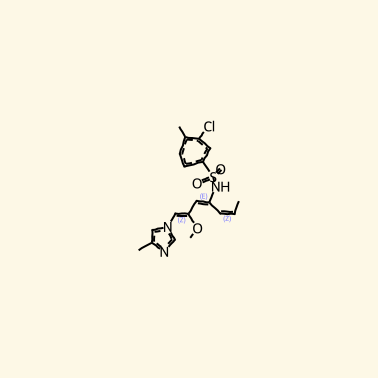 C\C=C/C(=C\C(=C\n1cnc(C)c1)OC)NS(=O)(=O)c1ccc(C)c(Cl)c1